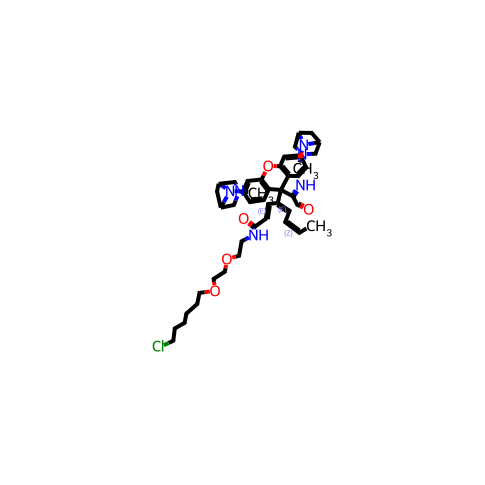 C\C=C/C=C(\C=C\C(=O)NCCOCCOCCCCCCCl)C1(C(=N)C=O)c2ccc(N3C4CC3CN(C)C4)cc2Oc2cc(N3C4CC3CN(C)C4)ccc21